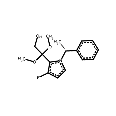 COC(CO)(OC)c1c(F)ccn1[C@H](C)c1ccccc1